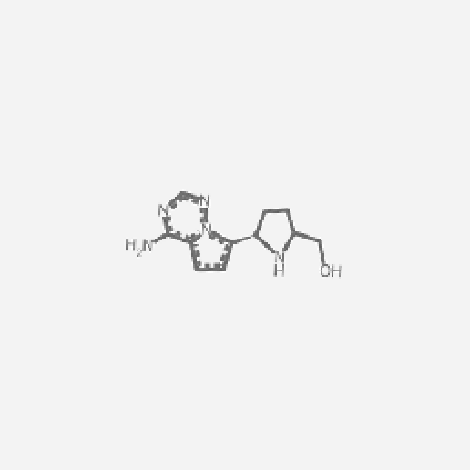 Nc1ncnn2c([C@H]3CCC(CO)N3)ccc12